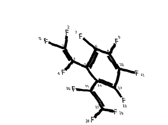 FC(F)=C(F)c1c(F)c(F)c(F)c(F)c1C(F)=C(F)F